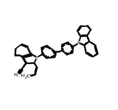 C#CC1C2=C(C=CCC2)N(c2ccc(-c3ccc(N4C5=C(CCC=C5)C5C=CC=CC54)cc3)cc2)C1/C=C\C